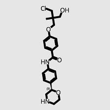 CC(CO)(CCl)COc1ccc(C(=O)Nc2ccc([C@@H]3CNCCO3)cc2)cc1